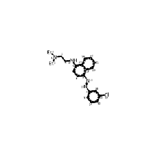 CCN(CC)CCNc1ccc(/N=N/c2cccc(Cl)c2)c2ccccc12